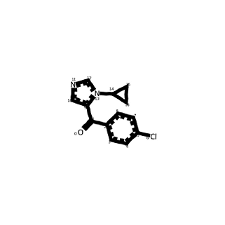 O=C(c1ccc(Cl)cc1)c1cncn1C1CC1